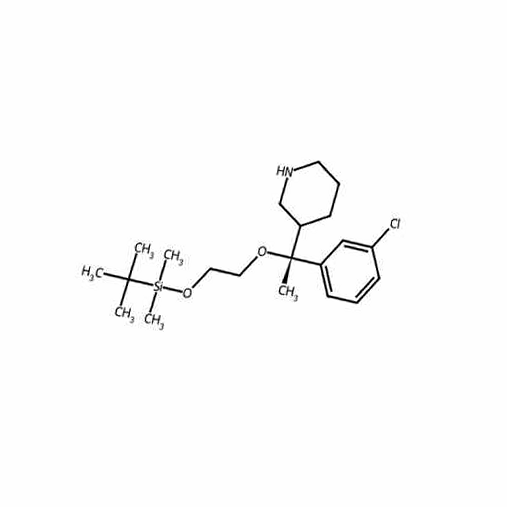 CC(C)(C)[Si](C)(C)OCCO[C@@](C)(c1cccc(Cl)c1)C1CCCNC1